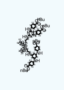 CCCCOC(=O)c1ccc(Nc2cc(NCCC[Si](C)(O[Si](C)(C)C)O[Si](C)(CCCNc3nc(Nc4ccc(C(=O)OCCCC)cc4)nc(Nc4ccc(C(=O)OCCCC)cc4)n3)O[Si](C)(C)C)cc(Nc3ccc(C(=O)OCCCC)cc3)c2)cc1